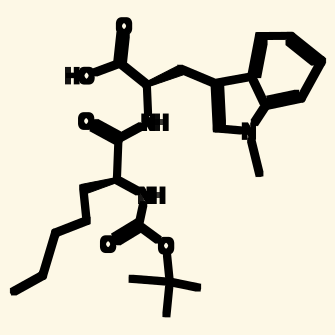 CCCCC[C@H](NC(=O)OC(C)(C)C)C(=O)N[C@H](Cc1cn(C)c2ccccc12)C(=O)O